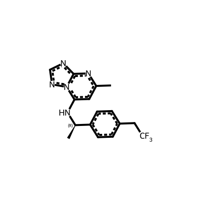 Cc1cc(N[C@H](C)c2ccc(CC(F)(F)F)cc2)n2ncnc2n1